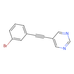 Brc1cccc(C#Cc2cncnc2)c1